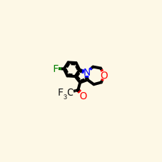 O=C(c1c2n(c3ccc(F)cc13)CCOCC2)C(F)(F)F